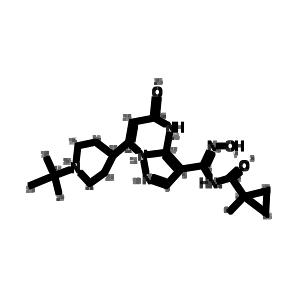 CC1(C(=O)NC(=NO)c2cnn3c(C4CCN(C(C)(C)C)CC4)cc(=O)[nH]c23)CC1